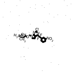 C[Si](C)(C)CCOCn1ccc2c(C(F)(F)c3cccc([N+](=O)[O-])c3)nc(Cl)nc21